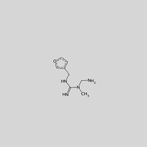 CN(CN)C(=N)NCc1ccoc1